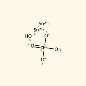 O=P([O-])([O-])[O-].[OH-].[Sn+2].[Sn+2]